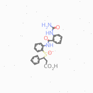 NC(=O)Nc1ccccc1C(=O)Nc1ccccc1[S+]([O-])C(CC(=O)O)c1ccccc1